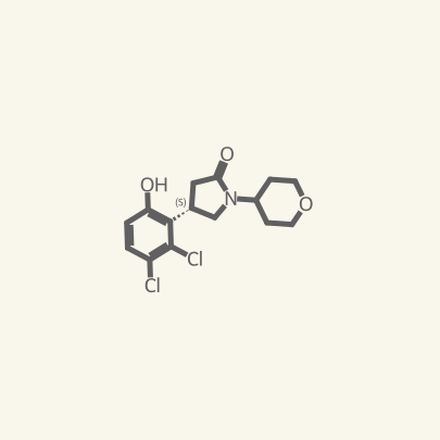 O=C1C[C@@H](c2c(O)ccc(Cl)c2Cl)CN1C1CCOCC1